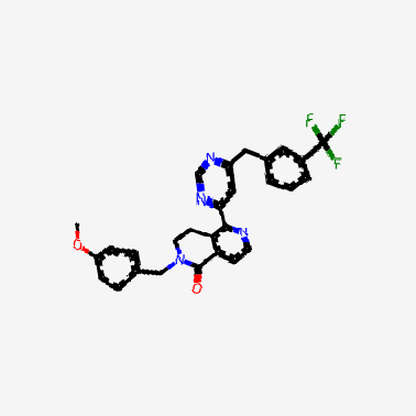 COc1ccc(CN2CCc3c(ccnc3-c3cc(Cc4cccc(C(F)(F)F)c4)ncn3)C2=O)cc1